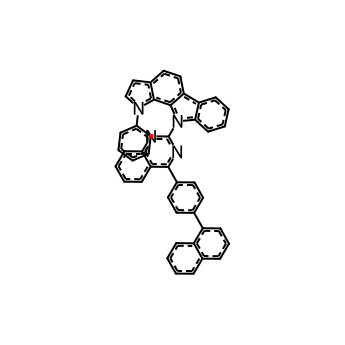 c1ccc(-n2ccc3ccc4c5ccccc5n(-c5nc(-c6ccc(-c7cccc8ccccc78)cc6)c6ccccc6n5)c4c32)cc1